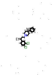 CCC(CCN1CCC(NC(C)=O)(c2ccccc2)CC1)c1ccc(Cl)c(Cl)c1